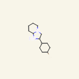 BrC1CCC(C2CN3CCCCC3N2)CC1